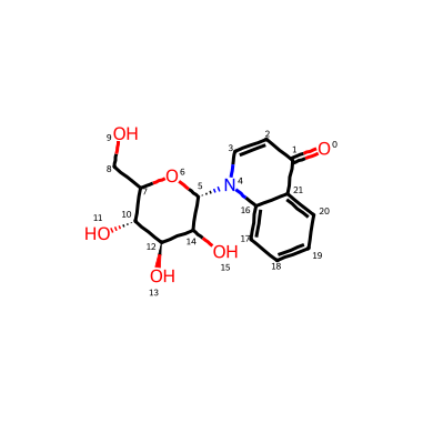 O=c1ccn([C@H]2OC(CO)[C@@H](O)[C@H](O)C2O)c2ccccc12